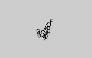 CC(C)(C)OC(=O)NC(CCS(C)(=O)=O)CN1CCc2cc(F)ccc21